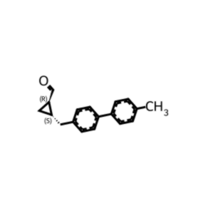 Cc1ccc(-c2ccc(C[C@@H]3C[C@H]3C=O)cc2)cc1